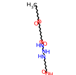 CCCCCCCCCOC(=O)CCCCCCCCCOC(=O)NCCNCCNCCCCCCCC(=O)O